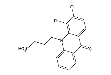 O=C(O)CCCn1c2ccccc2c(=O)c2ccc(Cl)c(Cl)c21